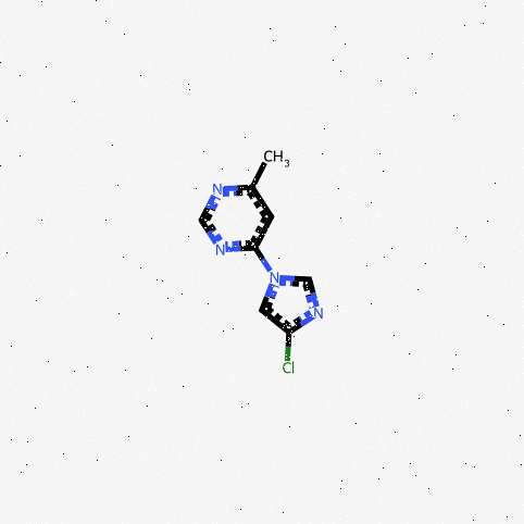 Cc1cc(-n2cnc(Cl)c2)ncn1